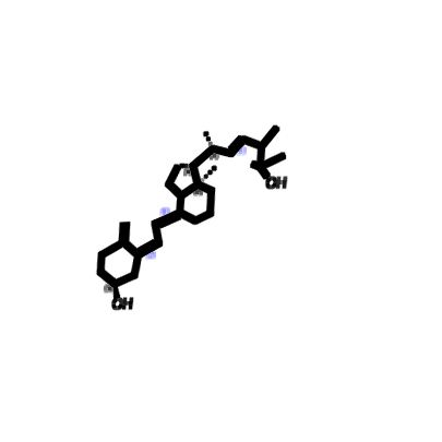 C=C1CC[C@H](O)C/C1=C/C=C1\CCC[C@@]2(C)C1CC[C@@H]2[C@H](C)/C=C/C(C)C(C)(C)O